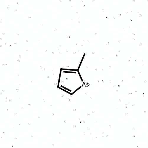 CC1=CC=C[As]1